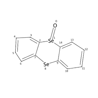 O=[Se]1c2ccccc2[Se]c2ccccc21